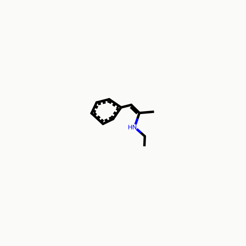 CCNC(C)=Cc1ccccc1